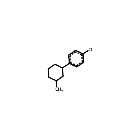 [CH2]C1CCCC(c2ccc(Cl)cc2)C1